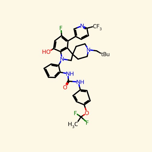 CC(C)(C)CN1CCC2(CC1)CN(c1ccccc1NC(=O)Nc1ccc(OC(C)(F)F)cc1)c1c(O)cc(F)c(-c3ccc(C(F)(F)F)nc3)c12